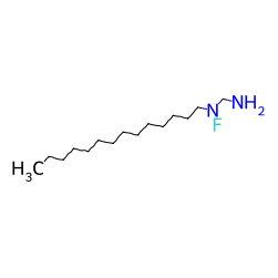 CCCCCCCCCCCCCCN(F)CN